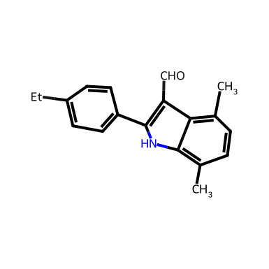 CCc1ccc(-c2[nH]c3c(C)ccc(C)c3c2C=O)cc1